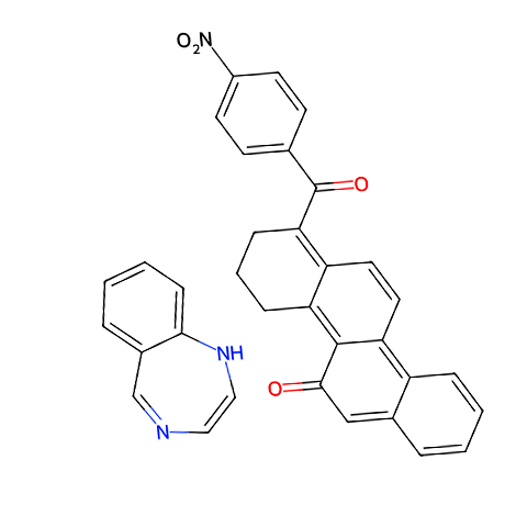 C1=CNc2ccccc2C=N1.O=C(C1=c2ccc3c(c2CCC1)C(=O)C=c1ccccc1=3)c1ccc([N+](=O)[O-])cc1